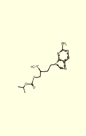 CC(C)OC(=O)OCC(CCn1cnc2cnc(N)nc21)[14CH2]O